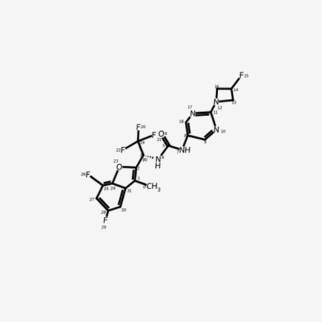 Cc1c([C@@H](NC(=O)Nc2cnc(N3CC(F)C3)nc2)C(F)(F)F)oc2c(F)cc(F)cc12